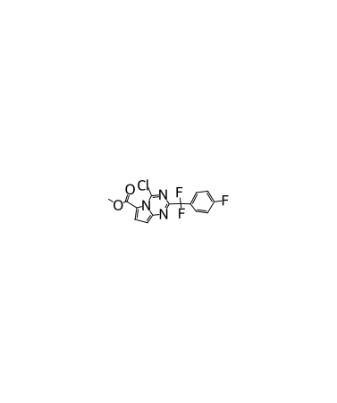 COC(=O)c1ccc2nc(C(F)(F)c3ccc(F)cc3)nc(Cl)n12